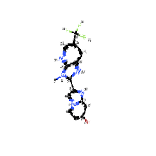 Cn1c(-c2cn3ccc(Br)cc3n2)nc2cc(C(F)(F)F)cnc21